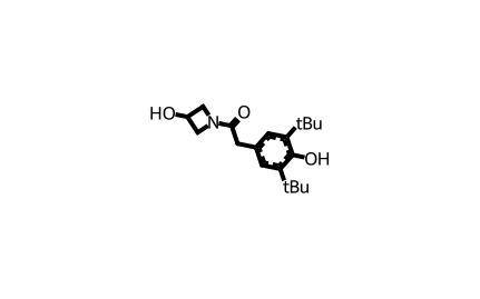 CC(C)(C)c1cc(CC(=O)N2CC(O)C2)cc(C(C)(C)C)c1O